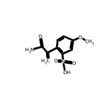 C=C(C(N)=O)c1ccc(OC)cc1S(=O)(=O)O